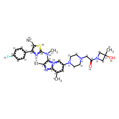 CCc1nc2c(C)cc(N3CCN(CC(=O)N4CC(C)(O)C4)CC3)cn2c1N(C)c1nc(-c2ccc(F)cc2)c(C#N)s1